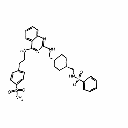 NS(=O)(=O)c1ccc(CCNc2nc(NC[C@H]3CC[C@H](CNS(=O)(=O)c4ccccc4)CC3)nc3ccccc23)cc1